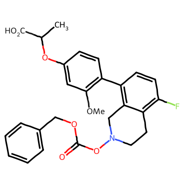 COc1cc(OC(C)C(=O)O)ccc1-c1ccc(F)c2c1CN(OC(=O)OCc1ccccc1)CC2